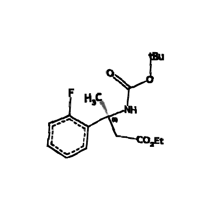 CCOC(=O)C[C@](C)(NC(=O)OC(C)(C)C)c1ccccc1F